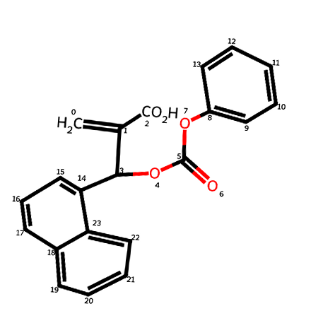 C=C(C(=O)O)C(OC(=O)Oc1ccccc1)c1cccc2ccccc12